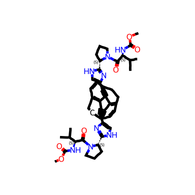 COC(=O)N[C@H](C(=O)N1CCC[C@H]1c1nc(C#Cc2cc3ccc2CCc2ccc(c(C#Cc4c[nH]c([C@@H]5CCCN5C(=O)[C@@H](NC(=O)OC)C(C)C)n4)c2)CC3)c[nH]1)C(C)C